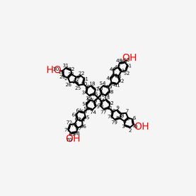 Oc1ccc2c(c1)Cc1cc(-c3ccc(C(c4ccc(-c5ccc6c(c5)Cc5cc(O)ccc5-6)cc4)(c4ccc(-c5ccc6c(c5)Cc5cc(O)ccc5-6)cc4)c4ccc(-c5ccc6c(c5)Cc5cc(O)ccc5-6)cc4)cc3)ccc1-2